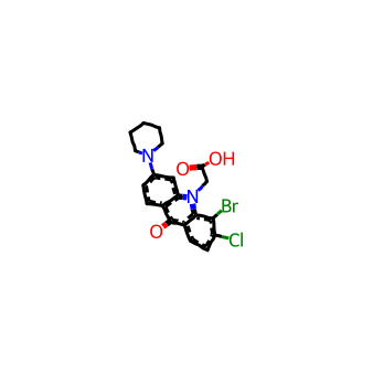 O=C(O)Cn1c2cc(N3CCCCC3)ccc2c(=O)c2ccc(Cl)c(Br)c21